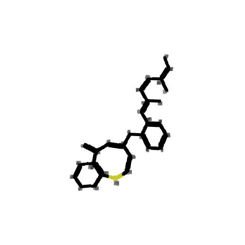 C=C1/C=C(Cc2ccccc2/C=C(C)/C=C\C(C)=C/C)\C=C/SC2=C1C=CCC2